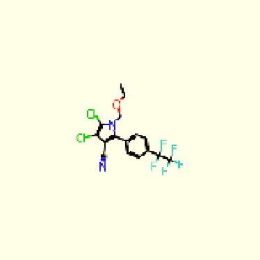 CCOCn1c(Cl)c(Cl)c(C#N)c1-c1ccc(C(F)(F)C(F)(F)F)cc1